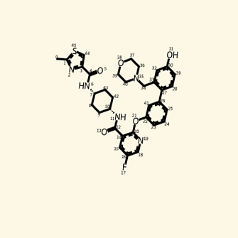 Cc1nc(C(=O)N[C@H]2CC[C@@H](NC(=O)c3cc(F)cnc3Oc3cccc(-c4ccc(O)cc4CN4CCOCC4)c3)CC2)cs1